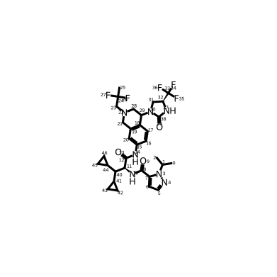 CC(C)n1nccc1C(=O)N[C@H](C(=O)Nc1ccc2c(c1)CN(CC(C)(F)F)CC2N1C[C@@H](C(F)(F)F)NC1=O)C(C1CC1)C1CC1